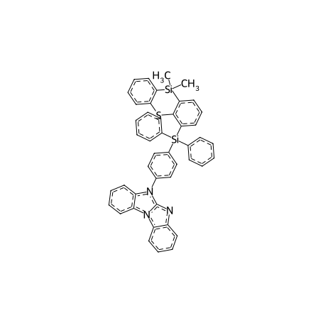 C[Si]1(C)c2ccccc2Sc2c1cccc2[Si](c1ccccc1)(c1ccccc1)c1ccc(-n2c3ccccc3n3c4ccccc4nc23)cc1